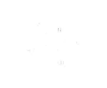 C=C1C(=C)C(=O)NC1=O